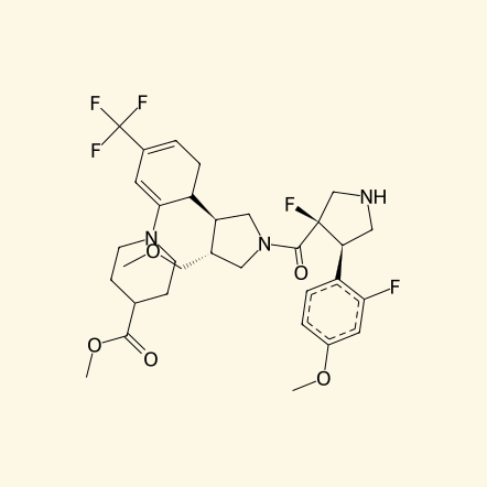 COC[C@H]1CN(C(=O)[C@]2(F)CNC[C@H]2c2ccc(OC)cc2F)C[C@@H]1C1CC=C(C(F)(F)F)C=C1N1CCC(C(=O)OC)CC1